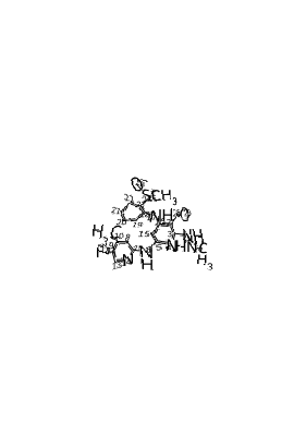 CNNc1nc(Nc2cc(C)c(F)cn2)cc(Nc2ccccc2[S+](C)[O-])c1C=O